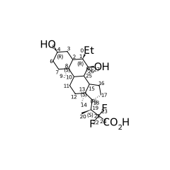 CC[C@@H]1C2C[C@H](O)CC[C@]2(C)C2CC[C@@]3(C)C(CC[C@@H]3[C@H](C)C(F)(F)C(=O)O)C2[C@@H]1O